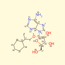 CC(CO[C@@]1(n2cnc3c(N)ncnc32)O[C@H](CO)[C@@H](O)[C@H]1O)C1CCCCC1